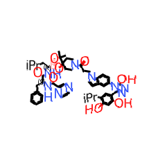 CC(C)C[C@H](NC(=O)[C@H](Cc1ccccc1)NC(=O)c1cnccn1)B1OC(C)(C)C2(CCN(C(=O)CCn3ccc4cc(-n5c(O)nnc5-c5cc(C(C)C)c(O)cc5O)ccc43)CC2)O1